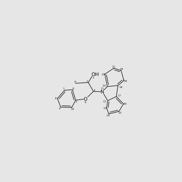 CC(O)C(Oc1ccccc1)n1c2ccccc2c2ccccc21